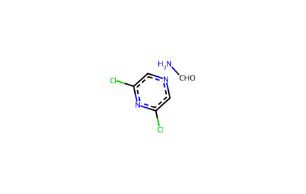 Clc1cncc(Cl)n1.NC=O